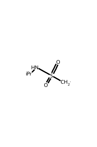 [CH2]S(=O)(=O)NC(C)C